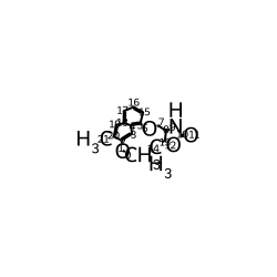 COc1cc2c(OCC3NC(=O)OC3C)cccc2cc1C